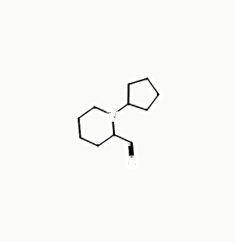 O=CC1CCCCN1C1CCCC1